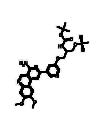 COc1cc2ncc3c(N)nc(-c4cncc(OCC(COS(C)(=O)=O)NC(=O)OC(C)(C)C)c4)cc3c2cc1OC